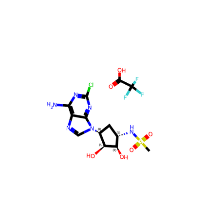 CS(=O)(=O)N[C@H]1C[C@@H](n2cnc3c(N)nc(Cl)nc32)[C@H](O)[C@@H]1O.O=C(O)C(F)(F)F